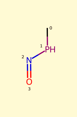 CPN=O